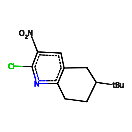 CC(C)(C)C1CCc2nc(Cl)c([N+](=O)[O-])cc2C1